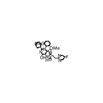 COc1cccc(OC)c1-n1c(-c2ccccc2)nc(O)c(NS(=O)(=O)CCc2ncc(F)cn2)c1=O